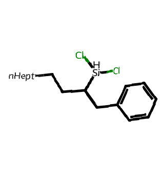 CCCCCCCCCC(Cc1ccccc1)[SiH](Cl)Cl